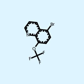 FC(F)(F)Oc1ccc(Br)c2cccnc12